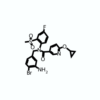 CS(=O)(=O)c1cc(F)ccc1N(Cc1ccc(Br)c(N)c1)C(=O)c1ccc(OC2CC2)nc1